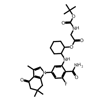 Cc1cn(-c2cc(F)c(C(N)=O)c(NC3CCCCC3OC(=O)CNC(=O)OC(C)(C)C)c2)c2c1C(=O)CC(C)(C)C2